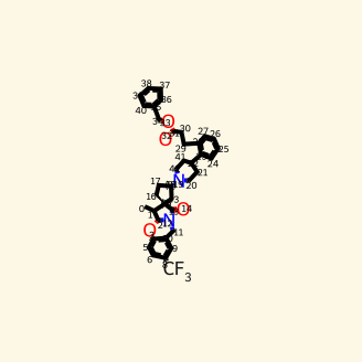 CC1C2Oc3ccc(C(F)(F)F)cc3CN2C(=O)[C@]12CC[C@@H](N1CCC(c3ccccc3CCC(=O)OCc3ccccc3)CC1)C2